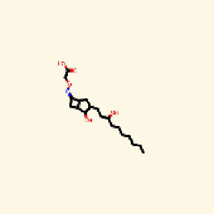 CCCCCCCC(O)CCC1CC2/C(=N\OCC(=O)O)CC2C1O